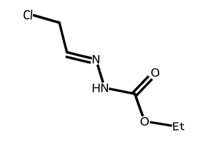 CCOC(=O)NN=CCCl